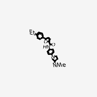 CCc1ccc(-c2ccc(C(=O)Nc3ccc(N4CCC(NC)C4)cc3)o2)cc1